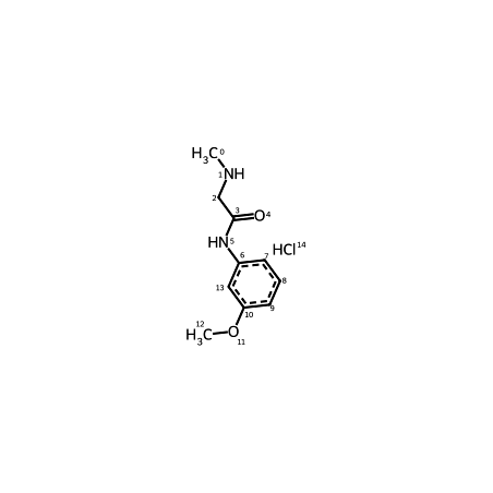 CNCC(=O)Nc1cccc(OC)c1.Cl